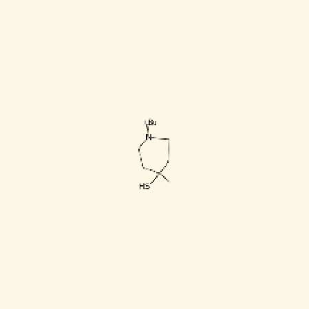 CC1(S)CCN(C(C)(C)C)CC1